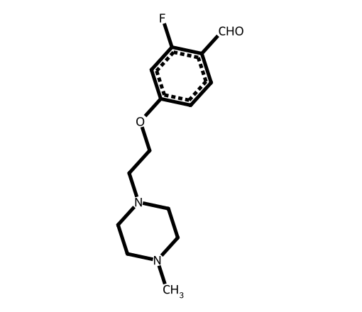 CN1CCN(CCOc2ccc(C=O)c(F)c2)CC1